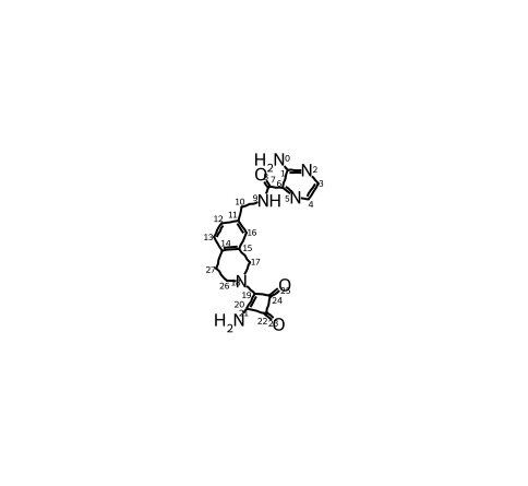 Nc1nccnc1C(=O)NCc1ccc2c(c1)CN(c1c(N)c(=O)c1=O)CC2